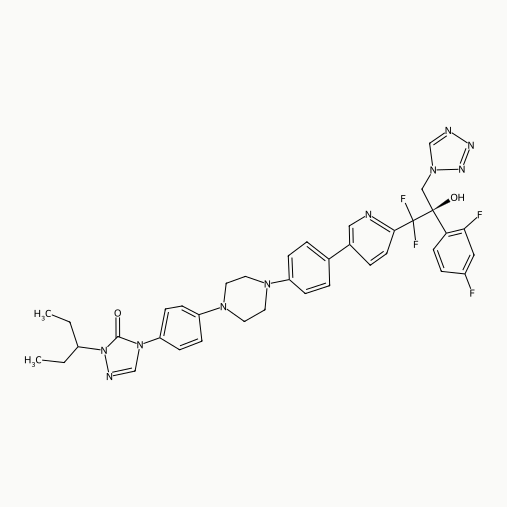 CCC(CC)n1ncn(-c2ccc(N3CCN(c4ccc(-c5ccc(C(F)(F)[C@](O)(Cn6cnnn6)c6ccc(F)cc6F)nc5)cc4)CC3)cc2)c1=O